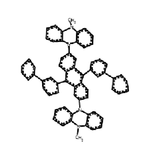 CN1c2ccccc2N(c2ccc3c(-c4cccc(-c5ccccc5)c4)c4cc(N5c6ccccc6N(C)c6ccccc65)ccc4c(-c4cccc(-c5ccccc5)c4)c3c2)c2ccccc21